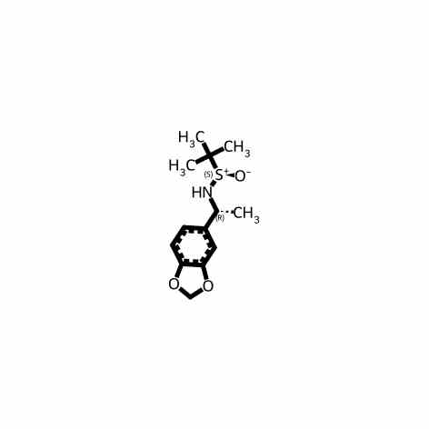 C[C@@H](N[S@+]([O-])C(C)(C)C)c1ccc2c(c1)OCO2